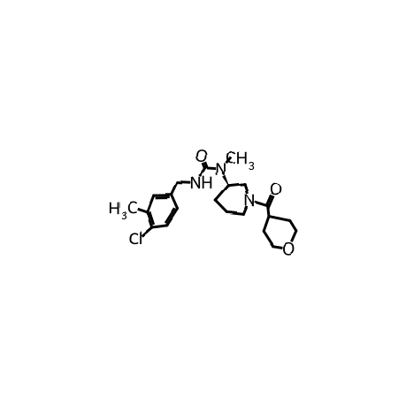 Cc1cc(CNC(=O)N(C)[C@@H]2CCCN(C(=O)C3CCOCC3)C2)ccc1Cl